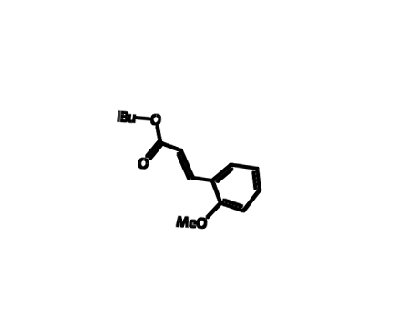 CCC(C)OC(=O)/C=C/c1ccccc1OC